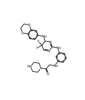 O=C(CNc1cccc(NC2=NC(Nc3ccc4c(c3)OCCO4)C(F)(F)C=N2)c1)N1CCNCC1